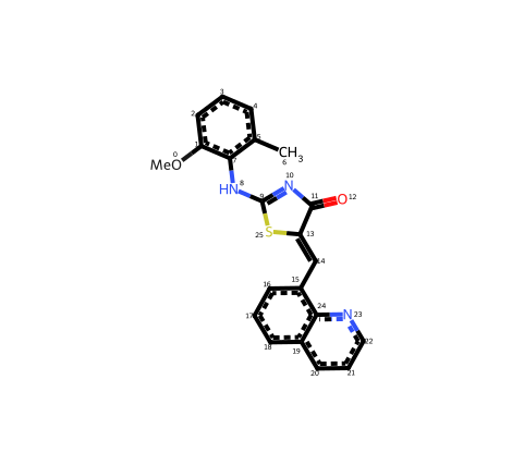 COc1cccc(C)c1NC1=NC(=O)C(=Cc2cccc3cccnc23)S1